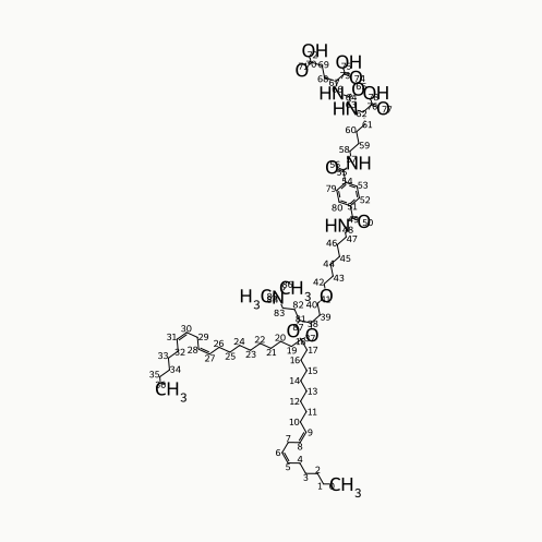 CCCCC/C=C\C/C=C\CCCCCCCCC1(CCCCCCCC/C=C\C/C=C\CCCCC)OC(CCOCCCCCCNC(=O)c2ccc(C(=O)NCCCC[C@H](NC(=O)N[C@@H](CCC(=O)O)C(=O)O)C(=O)O)cc2)C(CCN(C)C)O1